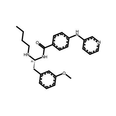 CCCCN[C@@H](Cc1cccc(OC)c1)NC(=O)c1ccc(Nc2cccnc2)cc1